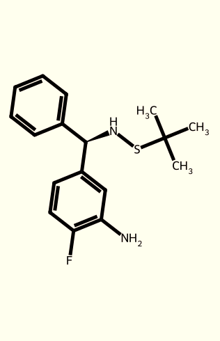 CC(C)(C)SN[C@H](c1ccccc1)c1ccc(F)c(N)c1